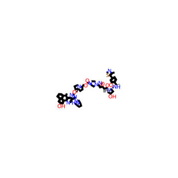 Cc1ncsc1-c1ccc([C@H](C)NC(=O)[C@@H]2C[C@@H](O)CN2C(=O)[C@@H](c2cc(N3CCN(C(=O)OCC4CC[C@]5(COc6nc(N7CC8CCC(C7)N8)c7cnc8c(c7n6)C(C)c6cccc7cc(O)cc-8c67)CCCN45)CC3)no2)C(C)C)cc1